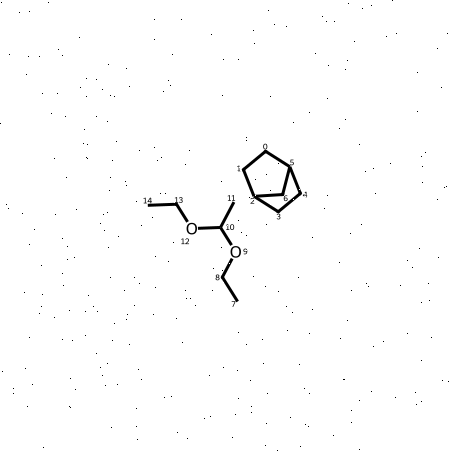 C1CC2CCC1C2.CCOC(C)OCC